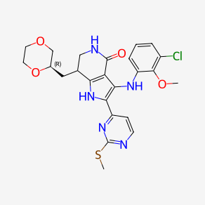 COc1c(Cl)cccc1Nc1c(-c2ccnc(SC)n2)[nH]c2c1C(=O)NCC2C[C@@H]1COCCO1